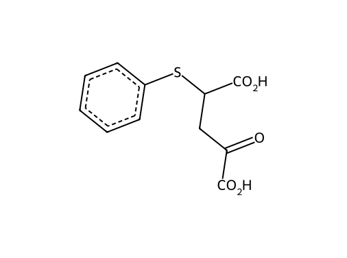 O=C(O)C(=O)CC(Sc1ccccc1)C(=O)O